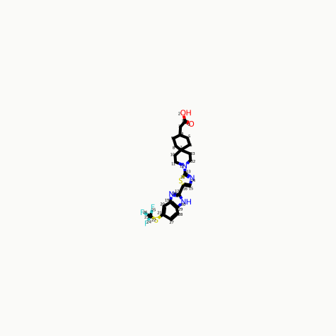 O=C(O)CC1CCC2(CC1)CCN(c1ncc(-c3nc4cc(SC(F)(F)F)ccc4[nH]3)s1)CC2